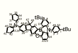 CC(C)(C)c1ccc(N2c3ccc(C(C)(C)C)cc3B3c4cc5c(cc4Oc4cccc2c43)-c2ccc(N(c3ccccc3)c3ccccc3)cc2C5(C)C)cc1